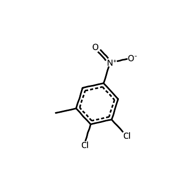 Cc1cc([N+](=O)[O-])cc(Cl)c1Cl